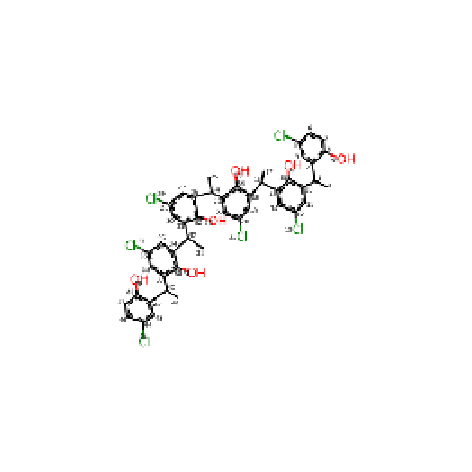 CC(c1cc(Cl)ccc1O)c1cc(Cl)cc(C(C)c2cc(Cl)cc(C(C)c3cc(Cl)cc(C(C)c4cc(Cl)cc(C(C)c5cc(Cl)ccc5O)c4O)c3O)c2O)c1O